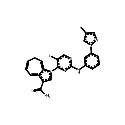 Cc1cnn(-c2cccc(Nc3ncc(F)c(-n4cc(C(N)=O)c5c4=CCC=CC=5)n3)c2)c1